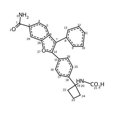 NC(=O)c1ccc2c(-c3ccccc3)c(-c3ccc(C4(NC(=O)O)CCC4)cc3)oc2c1